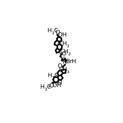 Br.COC[C@@]1(O)CC[C@@]2(C)C(CCC3C2CC[C@@]2(C)C3CC[C@@H]2C(=O)CN2C=CN(CC(=O)[C@H]3CCC4C5CC[C@H]6C[C@@](O)(COC)CC[C@]6(C)C5CC[C@@]43C)C2)C1